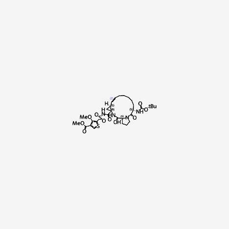 COC(=O)c1csc(S(=O)(=O)NC(=O)[C@@]23C[C@H]2/C=C\CCCCC[C@H](NC(=O)OC(C)(C)C)C(=O)N2CCC[C@H]2C(=O)N3)c1OC